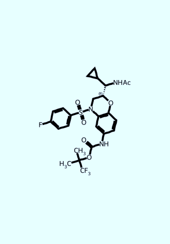 CC(=O)NC(C1CC1)[C@H]1CN(S(=O)(=O)c2ccc(F)cc2)c2cc(NC(=O)OC(C)(C)C(F)(F)F)ccc2O1